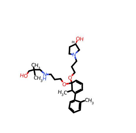 Cc1ccccc1C1=CC=CC(OCCCNCC(C)(C)CO)(OCCCN2CC[C@@H](O)C2)C1C